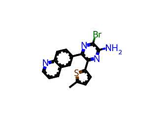 Cc1ccc(-c2nc(N)c(Br)nc2-c2ccc3ncccc3c2)s1